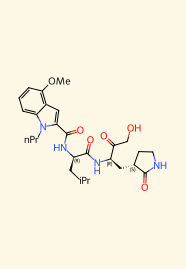 CCCn1c(C(=O)N[C@H](CC(C)C)C(=O)N[C@H](C[C@@H]2CCNC2=O)C(=O)CO)cc2c(OC)cccc21